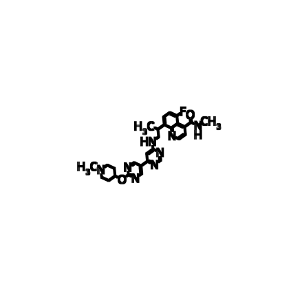 CNC(=O)c1ccnc2c(C(C)CNc3cc(-c4cnc(OC5CCN(C)CC5)nc4)ncn3)ccc(F)c12